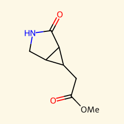 COC(=O)CC1C2CNC(=O)C21